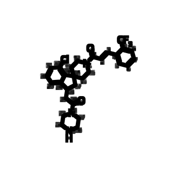 O=C(/C=C/c1ccccc1C(F)(F)F)N1CCC2(CC1)CC(CC(=O)N1CCNCC1)c1cccc(Cl)c12